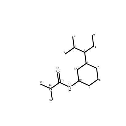 CCC(C(C)C)C1CCCC(NC(=O)N(C)C)C1